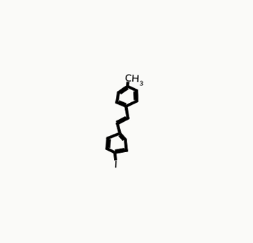 Cc1ccc(/C=C/c2ccc(I)cc2)cc1